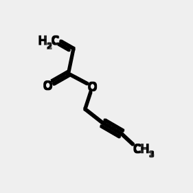 C=CC(=O)OCC#CC